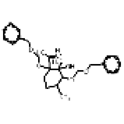 C=C(C)C1(OCOCc2ccccc2)CCC(C)C(OCOCc2ccccc2)C1(C)O